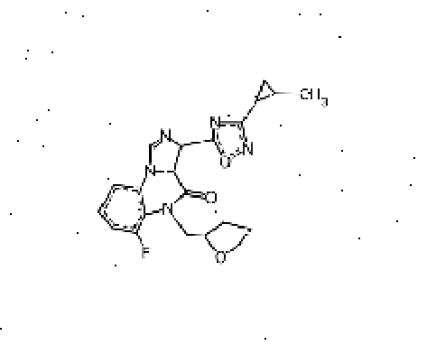 CC1CC1c1noc(C2N=CN3c4cccc(F)c4N(CC4CCCO4)C(=O)C23)n1